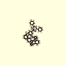 c1ccc(-c2nc(-c3ccccc3)nc(-c3cc(N4c5ccccc5C5(c6ccccc6-c6ccccc65)c5ccccc54)c4c(c3)sc3ccccc34)n2)cc1